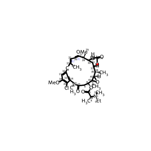 CCN(C)[C@@H](C)C(=O)O[C@H]1CC(=O)N(C)c2cc(cc(OC)c2Cl)C/C(C)=C/C=C/[C@@H](OC)[C@@]2(O)C[C@H](OC(=O)N2)[C@@H](C)[C@@H]2O[C@@]12C